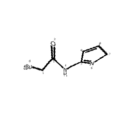 CC(C)(C)CC(=O)NC1=NCC=C1